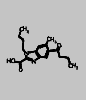 CCCCn1c(C(=O)O)nc2cc(C(=O)CCC)c(C)cc21